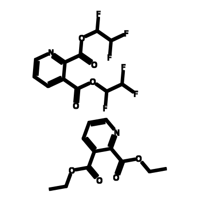 CCOC(=O)c1cccnc1C(=O)OCC.O=C(OC(F)C(F)F)c1cccnc1C(=O)OC(F)C(F)F